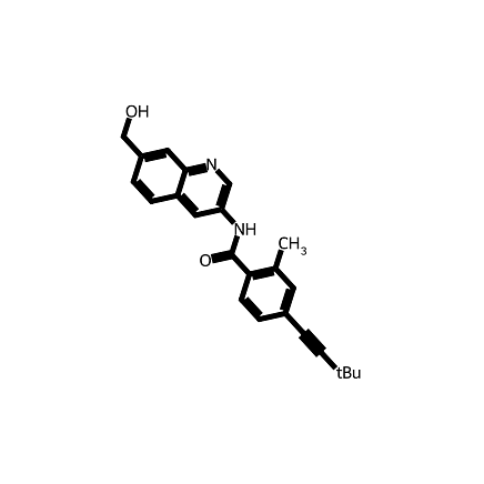 Cc1cc(C#CC(C)(C)C)ccc1C(=O)Nc1cnc2cc(CO)ccc2c1